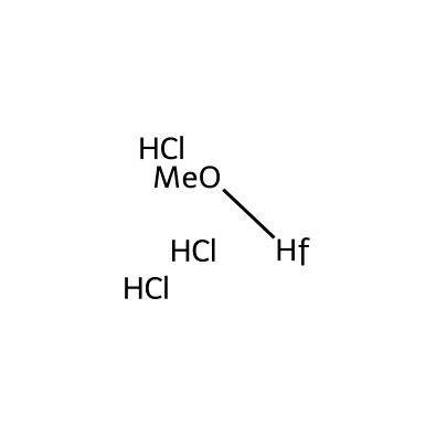 C[O][Hf].Cl.Cl.Cl